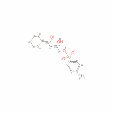 Cc1ccc(S(=O)(=O)OC[C@@H](O)C[C@@H](O)C2SCCCS2)cc1